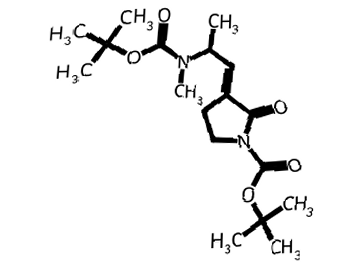 CC(/C=C1\CCN(C(=O)OC(C)(C)C)C1=O)N(C)C(=O)OC(C)(C)C